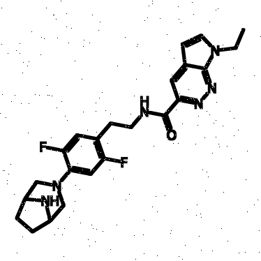 CCn1ccc2cc(C(=O)NCCc3cc(F)c(N4CC5CCC(C4)N5)cc3F)nnc21